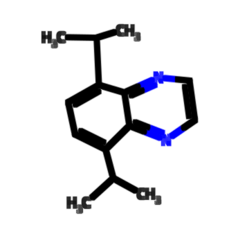 CC(C)c1ccc(C(C)C)c2nccnc12